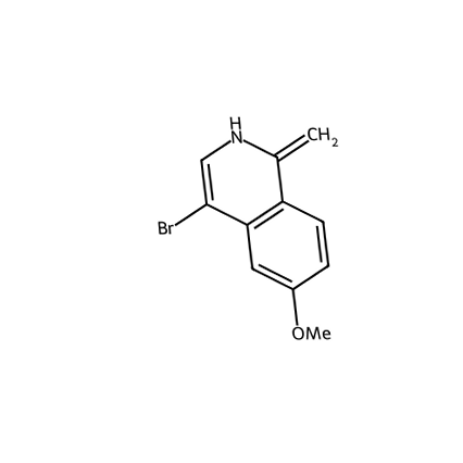 C=C1NC=C(Br)c2cc(OC)ccc21